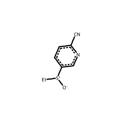 CC[S+]([O-])c1ccc(C#N)nc1